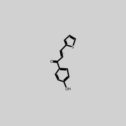 O=C(/C=C/c1cccs1)c1ccc(O)cc1